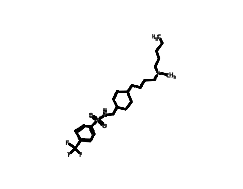 CCCCCN(C)CCCCC1CCC(CNS(=O)(=O)c2ccc(C(F)(F)F)cc2)CC1